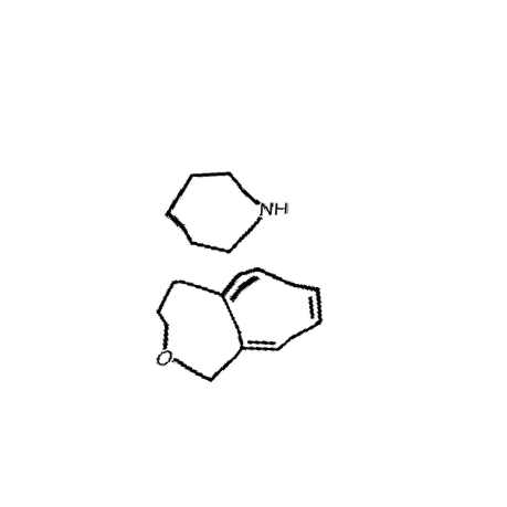 C1CCNCC1.c1ccc2c(c1)CCOC2